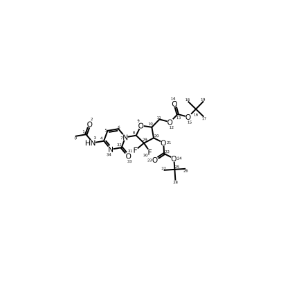 CC(=O)Nc1ccn(C2OC(COC(=O)OC(C)(C)C)C(OC(=O)OC(C)(C)C)C2(F)F)c(=O)n1